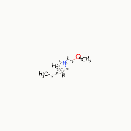 CC[C@@H]1[C@H]2CN(CCOC)C[C@@H]12